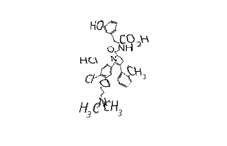 Cc1ccccc1-c1ccc(C(=O)NC(Cc2cccc(O)c2)C(=O)O)nc1-c1ccc(Cl)c(OCCCN(C)C)c1.Cl